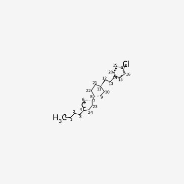 CCCC[C@H]1CC[C@H]([C@H]2CC[C@H](CCc3ccc(Cl)cc3)CC2)CC1